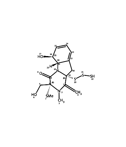 C=C1N(C)[C@](CO)(SC)C(=O)N2[C@H]3C(=CC=C[C@@H]3O)C[C@@]12SSS